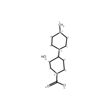 CN1CCN(C2CCN(C(=O)Cl)CC2)CC1.Cl